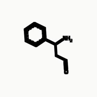 NC(CC=O)c1ccccc1